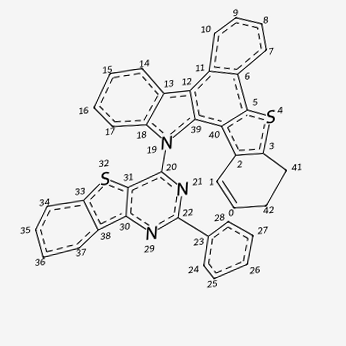 C1=Cc2c(sc3c4ccccc4c4c5ccccc5n(-c5nc(-c6ccccc6)nc6c5sc5ccccc56)c4c23)CC1